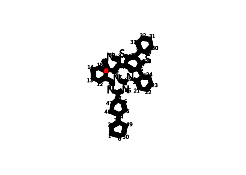 c1ccc(-c2ccc(-c3nc(-c4ccccc4)nc(-n4c5ccccc5c5c6sc7ccccc7c6c6sc7ncccc7c6c54)n3)cc2)cc1